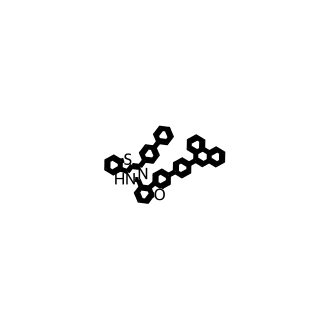 c1ccc(-c2ccc(C3=C4Sc5ccccc5C4NC(c4cccc5oc6cc(-c7ccc(-c8cc9ccccc9c9ccccc89)cc7)ccc6c45)=N3)cc2)cc1